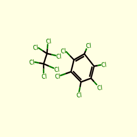 ClC(Cl)(Cl)C(Cl)(Cl)Cl.Clc1c(Cl)c(Cl)c(Cl)c(Cl)c1Cl